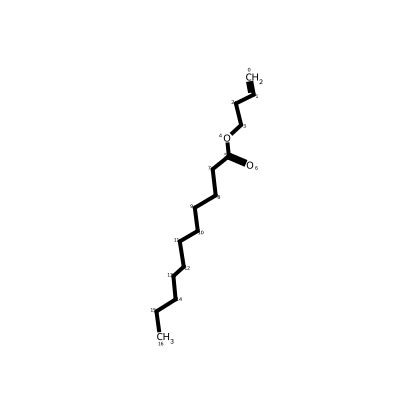 C=CCCOC(=O)CCCCCCCCCC